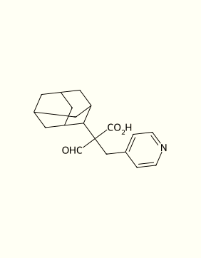 O=CC(Cc1ccncc1)(C(=O)O)C1C2CC3CC(C2)CC1C3